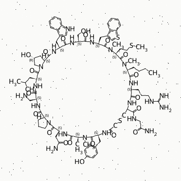 CCCC[C@H]1C(=O)N[C@@H](CCCNC(=N)N)C(=O)NC(C(=O)NCC(N)=O)CSCC(=O)N[C@@H](Cc2ccc(O)cc2)C(=O)N(C)[C@@H](C)C(=O)N[C@@H](CC(N)=O)C(=O)N2CCC[C@H]2C(=O)N[C@@H](CN)C(=O)N[C@@H](CC(C)C)C(=O)N2C[C@H](O)C[C@H]2C(=O)N[C@@H](Cc2c[nH]c3ccccc23)C(=O)N[C@@H](CO)C(=O)N[C@@H](Cc2csc3ccccc23)C(=O)N(C)[C@@H](CCSC)C(=O)N1C